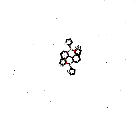 OCc1cccc(P(c2ccco2)c2ccco2)c1-c1c(CO)cccc1P(c1ccco1)c1ccco1